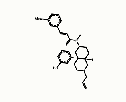 C=CCN1CC[C@@]2(c3cccc(O)c3)C[C@@H](N(C)C(=O)C=Cc3cccc(OC)c3)CC[C@@H]2C1